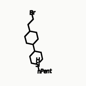 CCCCC[SiH]1CCC(C2CCC(CCBr)CC2)CC1